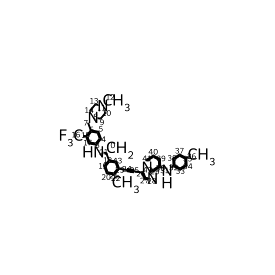 C=C(Nc1ccc(CN2CCN(C)CC2)c(C(F)(F)F)c1)c1ccc(C)c(C#Cc2cnc3c(Nc4ccc(C)cc4)cccn23)c1